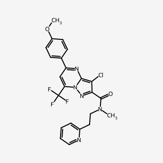 COc1ccc(-c2cc(C(F)(F)F)n3nc(C(=O)N(C)CCc4ccccn4)c(Cl)c3n2)cc1